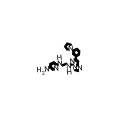 Nc1ccc(NCCNc2nc(-c3cccc(N4CCCC4)c3)cc3nccn23)nc1